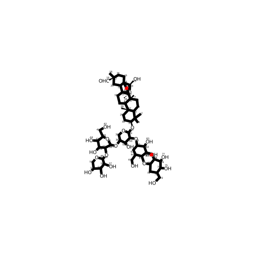 CC1(C)C2CC[C@]3(C)C(CCC45OCC6(CC[C@](C)(C=O)CC64)[C@H](O)C[C@]53C)[C@@]2(C)CC[C@@H]1OC1OCC(OC2OC(CO)C(O)C(O)C2OC2OCC(O)C(O)C2O)C(O)C1OC1CC(CO)C(OC2CC(CO)C(O)C(O)C2O)C(O)C1O